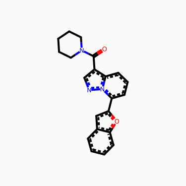 O=C(c1cnn2c(-c3cc4ccccc4o3)cccc12)N1CCCCC1